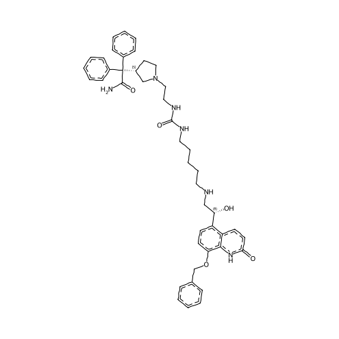 NC(=O)C(c1ccccc1)(c1ccccc1)[C@@H]1CCN(CCNC(=O)NCCCCCNC[C@H](O)c2ccc(OCc3ccccc3)c3[nH]c(=O)ccc23)C1